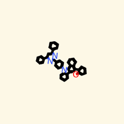 c1ccc(-c2cc(-c3ccccc3)nc(-c3ccc(-n4c5ccccc5c5c6oc7ccccc7c6c6ccccc6c54)cc3)n2)cc1